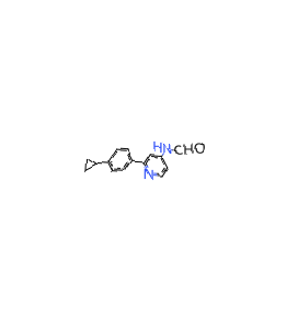 O=CNc1ccnc(-c2ccc(C3CC3)cc2)c1